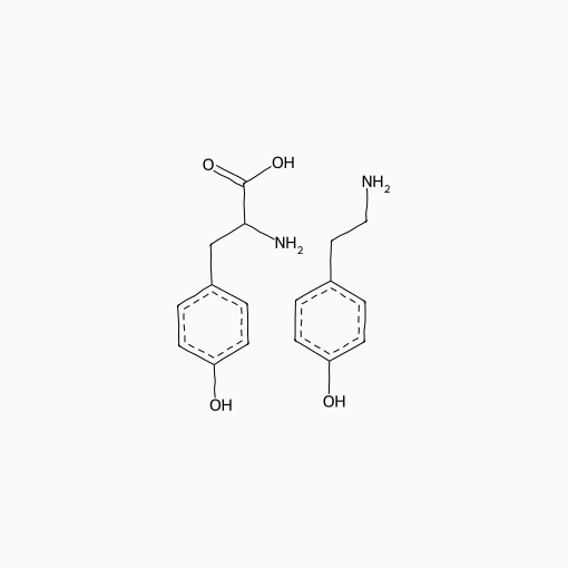 NC(Cc1ccc(O)cc1)C(=O)O.NCCc1ccc(O)cc1